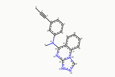 CC#Cc1cccc(N(C)c2nc3nncn3c3ccccc23)c1